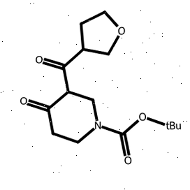 CC(C)(C)OC(=O)N1CCC(=O)C(C(=O)C2CCOC2)C1